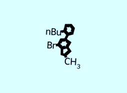 CCCCc1ccccc1-c1cc(Br)c2c(c1)C=C(C)C2